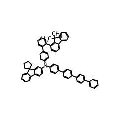 CC1(C)c2ccccc2-c2cccc(-c3ccccc3-c3ccc(N(c4ccc(-c5ccc(-c6ccc(-c7ccccc7)cc6)cc5)cc4)c4ccc5c(c4)C4(CCCC4)c4ccccc4-5)cc3)c21